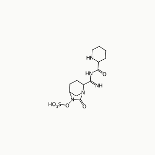 N=C(NC(=O)C1CCCCN1)C1CCC2CN1C(=O)N2OS(=O)(=O)O